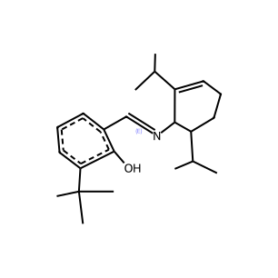 CC(C)C1=CCCC(C(C)C)C1/N=C/c1cccc(C(C)(C)C)c1O